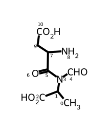 CC(C(=O)O)N(C=O)C(=O)C(N)CC(=O)O